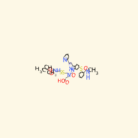 CNC(=O)c1ccccc1Sc1ccc2c(/C=C/c3ccccn3)nn(C(=O)N(CCSSCCNC(=O)OC(C)(C)C)CCC(=O)O)c2c1